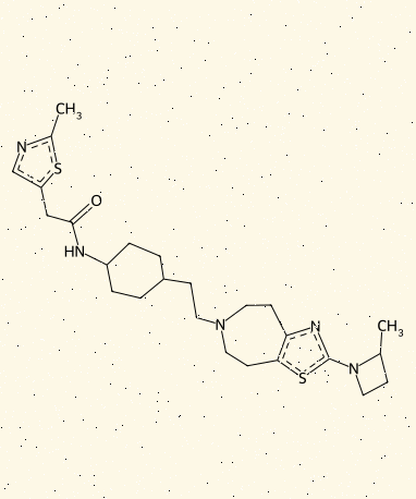 Cc1ncc(CC(=O)NC2CCC(CCN3CCc4nc(N5CCC5C)sc4CC3)CC2)s1